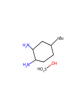 CCCCC1CCC(N)C(N)C1.O=S(=O)(O)O